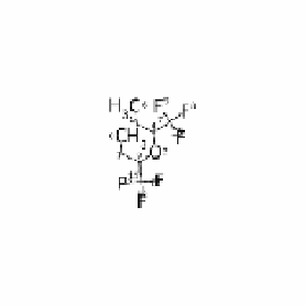 CCC(OC(CC)C(F)(F)F)C(F)(F)F